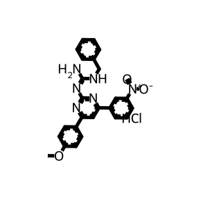 COc1ccc(-c2cc(-c3cccc([N+](=O)[O-])c3)nc(N=C(N)NCc3ccccc3)n2)cc1.Cl